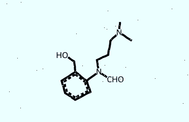 CN(C)CCCN(C=O)c1ccccc1CO